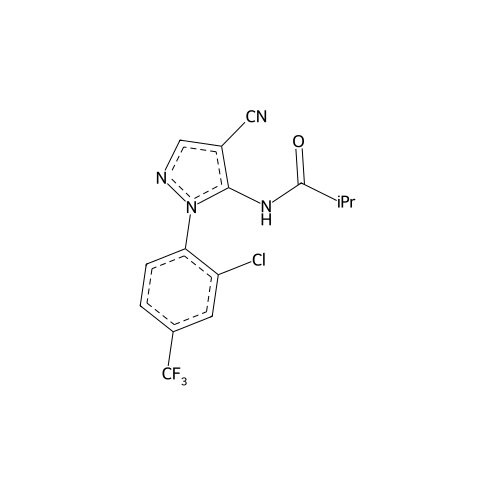 CC(C)C(=O)Nc1c(C#N)cnn1-c1ccc(C(F)(F)F)cc1Cl